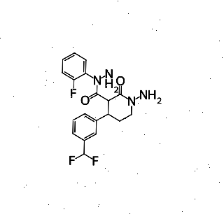 NN1CCC(c2cccc(C(F)F)c2)C(C(=O)N(N)c2ccccc2F)C1=O